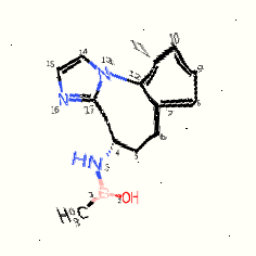 CB(O)N[C@H]1CCc2ccccc2-n2ccnc21